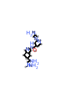 CN(N)/C=C(\N)c1ccc2cnc(NC(=O)c3ccnc(N4CC(N)C4)c3)cc2c1